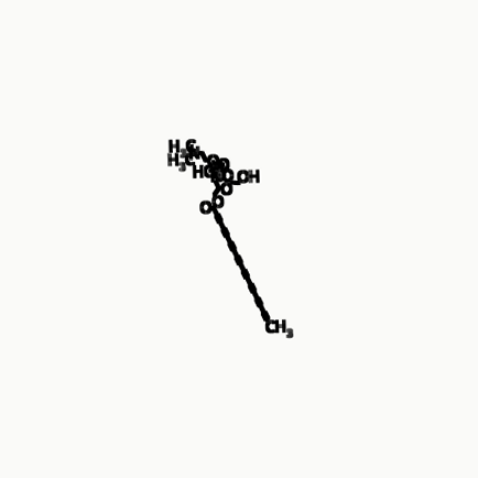 CC#CC#CC#CC#CC#CC#CC#CC#CC(=O)OCC(COP(=O)(O)OCCN(C)C)OC(O)CO